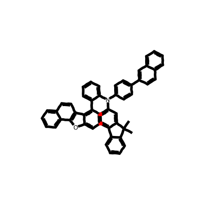 CC1(C)c2ccccc2-c2ccc(N(c3ccc(-c4ccc5ccccc5c4)cc3)c3ccccc3-c3cccc4oc5c6ccccc6ccc5c34)cc21